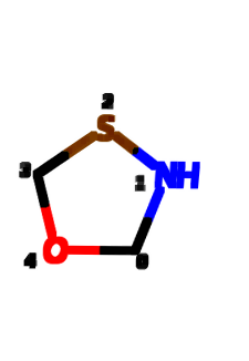 C1NSCO1